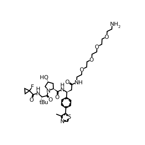 Cc1ncsc1-c1ccc([C@H](CC(=O)NCCOCCOCCOCCOCCN)NC(=O)[C@@H]2C[C@@H](O)CN2C(=O)[C@@H](NC(=O)C2(F)CC2)C(C)(C)C)cc1